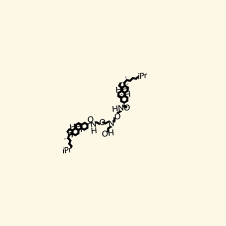 CC(C)CCC[C@@H](C)[C@H]1CC[C@H]2[C@@H]3CC=C4C[C@H](C(=O)NCCOCCN(CCCO)CCOCCNC(=O)[C@H]5CC[C@@]6(C)C(=CC[C@H]7[C@@H]8CC[C@H]([C@@H](C)CCCC(C)C)[C@@]8(C)CC[C@@H]76)C5)CC[C@]4(C)[C@H]3CC[C@]12C